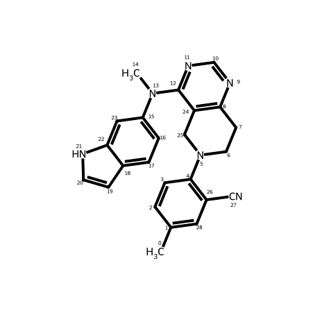 Cc1ccc(N2CCc3ncnc(N(C)c4ccc5cc[nH]c5c4)c3C2)c(C#N)c1